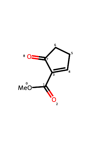 COC(=O)C1=CCCC1=O